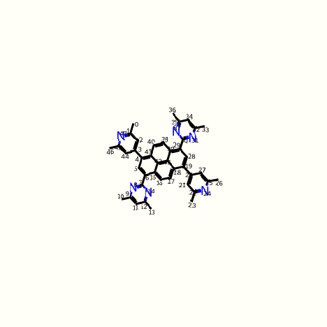 Cc1cc(-c2cc(-c3nc(C)cc(C)n3)c3ccc4c(-c5cc(C)nc(C)c5)cc(-c5nc(C)cc(C)n5)c5ccc2c3c45)cc(C)n1